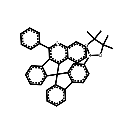 CC1(C)OB(c2ccc3c(c2)C2(c4ccccc4-3)c3ccccc3-c3c(-c4ccccc4)nc4ccccc4c32)OC1(C)C